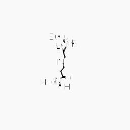 CCO[Si](CCCNCCC(=O)N(C)C)(OCC)OCC